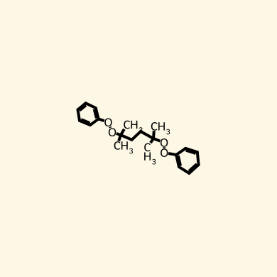 CC(C)(CCC(C)(C)OOc1ccccc1)OOc1ccccc1